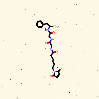 O=C(CCCCCN1C(=O)C=CC1=O)NCC(=O)NCC(=O)NC(Cc1ccccc1)C(=O)O